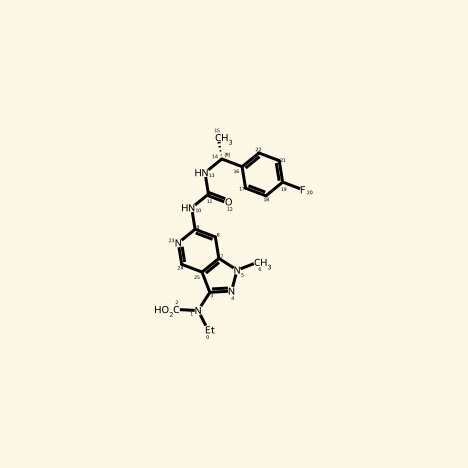 CCN(C(=O)O)c1nn(C)c2cc(NC(=O)N[C@H](C)c3ccc(F)cc3)ncc12